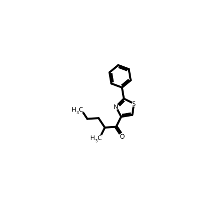 CCCC(C)C(=O)c1csc(-c2ccccc2)n1